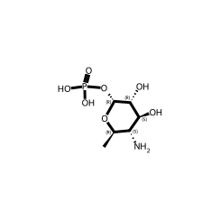 C[C@H]1O[C@H](OP(=O)(O)O)[C@H](O)[C@@H](O)[C@@H]1N